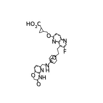 O=C1COc2ccc(CNC34CCC(CCc5c(F)cnc6ccc(OCC7CC7C(=O)O)nc56)(CC3)OC4)nc2N1